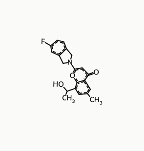 Cc1cc(C(C)O)c2oc(N3Cc4ccc(F)cc4C3)cc(=O)c2c1